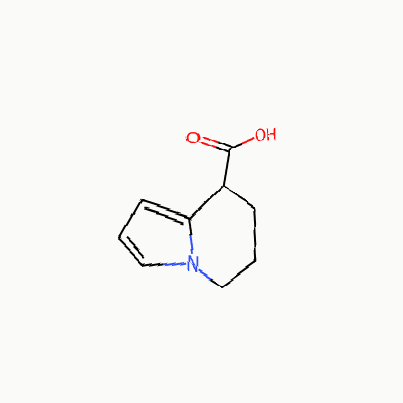 O=C(O)C1CCCn2cccc21